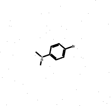 C[SH](C)c1ccc(Br)cc1